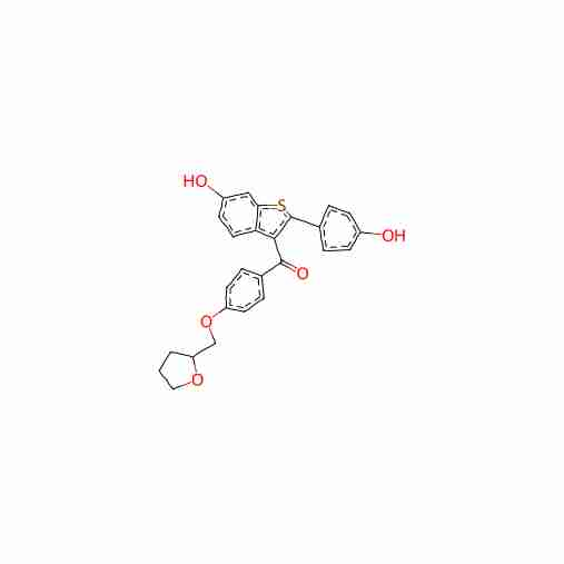 O=C(c1ccc(OCC2CCCO2)cc1)c1c(-c2ccc(O)cc2)sc2cc(O)ccc12